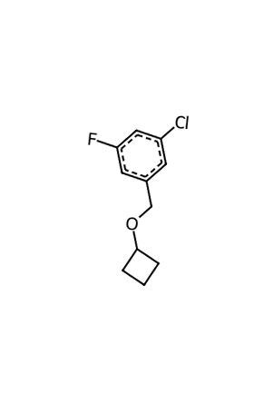 Fc1cc(Cl)cc(COC2CCC2)c1